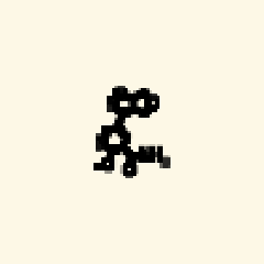 COc1ncc(C2=NOC3COCC23)cc1C(N)=O